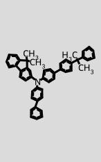 CC(C)(c1ccccc1)c1ccc(-c2ccc(N(c3ccc(-c4ccccc4)cc3)c3ccc4c(c3)C(C)(C)c3ccccc3-4)cc2)cc1